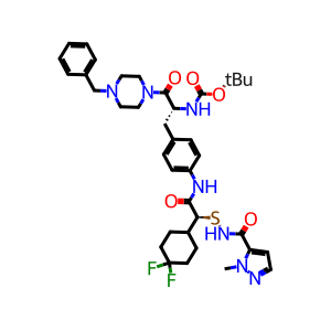 Cn1nccc1C(=O)NS[C@H](C(=O)Nc1ccc(C[C@@H](NC(=O)OC(C)(C)C)C(=O)N2CCN(Cc3ccccc3)CC2)cc1)C1CCC(F)(F)CC1